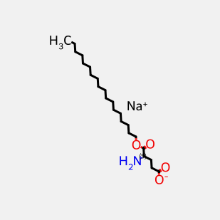 CCCCCCCCCCCCCCCCCCOC(=O)[C@@H](N)CCC(=O)[O-].[Na+]